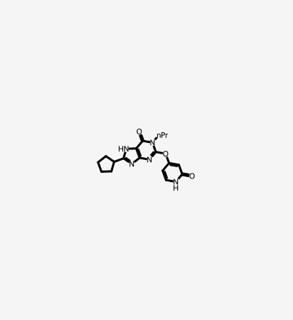 CCCn1c(Oc2cc[nH]c(=O)c2)nc2nc(C3CCCC3)[nH]c2c1=O